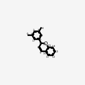 Cc1cc(C)cc(C2C=Cc3ccccc3O2)c1